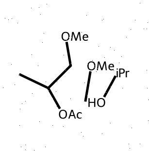 CC(C)O.COC.COCC(C)OC(C)=O